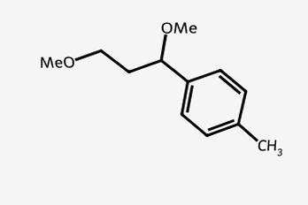 COCCC(OC)c1ccc(C)cc1